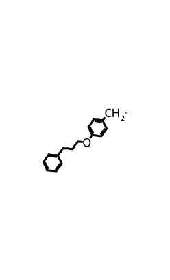 [CH2]c1ccc(OCCCc2ccccc2)cc1